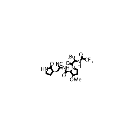 CO[C@@H]1CCN(C(=O)C(NC(=O)C(F)(F)F)C(C)(C)C)[C@@H]1C(=O)NC(C#N)C[C@@H]1CCNC1=O